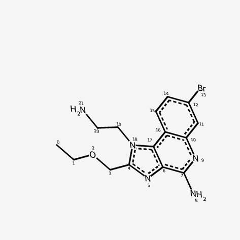 CCOCc1nc2c(N)nc3cc(Br)ccc3c2n1CCN